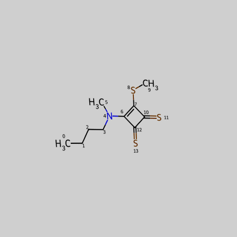 CCCCN(C)c1c(SC)c(=S)c1=S